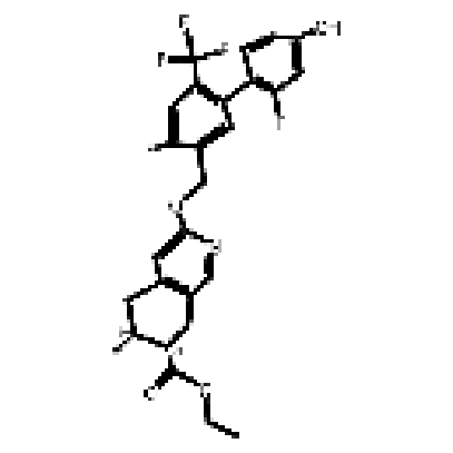 CCOC(=O)[C@@H]1Cc2cnc(OCc3cc(-c4ccc(O)cc4F)c(C(F)(F)F)cc3F)cc2C[C@@H]1C